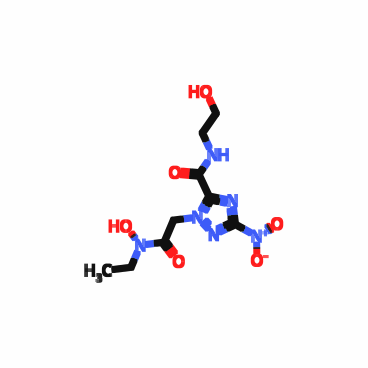 CCN(O)C(=O)Cn1nc([N+](=O)[O-])nc1C(=O)NCCO